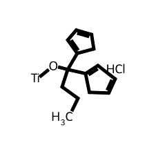 CCCC([O][Ti])(C1=CC=CC1)C1=CC=CC1.Cl